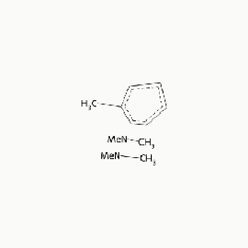 CNC.CNC.Cc1ccccc1